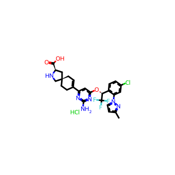 Cc1ccn(-c2cc(Cl)ccc2[C@@H](Oc2cc(C3=CC[C@@]4(CC3)CN[C@@H](C(=O)O)C4)nc(N)n2)C(F)(F)F)n1.Cl